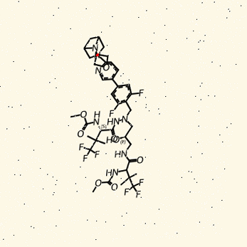 COC(=O)NC(C(=O)NC[C@@H](O)CN(Cc1c(F)cc(-c2ccc(N3CC4CC(C3)N4C3COC3)nc2)cc1F)NC(=O)[C@@H](NC(=O)OC)C(C)(C)C(F)(F)F)C(C)(C)C(F)(F)F